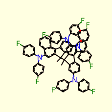 CC1(C2(C)c3cc(N(c4ccc(F)cc4)c4ccc(F)cc4)ccc3-c3c2cc(N(c2ccc(F)cc2)c2ccc(F)cc2)c2ccccc32)c2cc(N(c3ccc(F)cc3)c3ccc(F)cc3)ccc2-c2c1cc(N(c1ccc(F)cc1)c1ccc(F)cc1)c1ccccc21